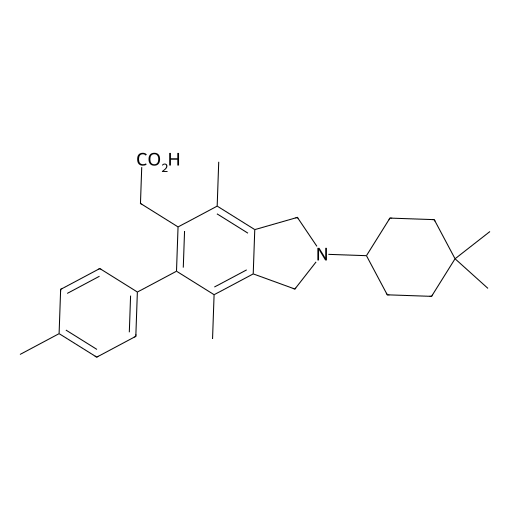 Cc1ccc(-c2c(C)c3c(c(C)c2CC(=O)O)CN(C2CCC(C)(C)CC2)C3)cc1